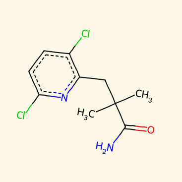 CC(C)(Cc1nc(Cl)ccc1Cl)C(N)=O